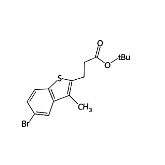 Cc1c(CCC(=O)OC(C)(C)C)sc2ccc(Br)cc12